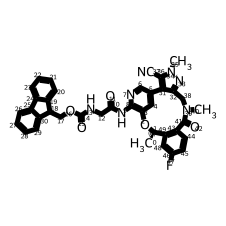 C[C@H]1Oc2cc(cnc2NC(=O)CNC(=O)OCC2c3ccccc3-c3ccccc32)-c2c(nn(C)c2C#N)CN(C)C(=O)c2ccc(F)cc21